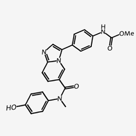 COC(=O)Nc1ccc(-c2cnc3ccc(C(=O)N(C)c4ccc(O)cc4)cn23)cc1